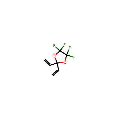 C=CC1(C=C)OC(F)(F)C(F)(F)O1